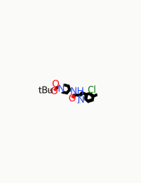 Cc1ccc2c(cc(C(=O)NC3CCN(C(=O)OC(C)(C)C)CC3)n2C)c1Cl